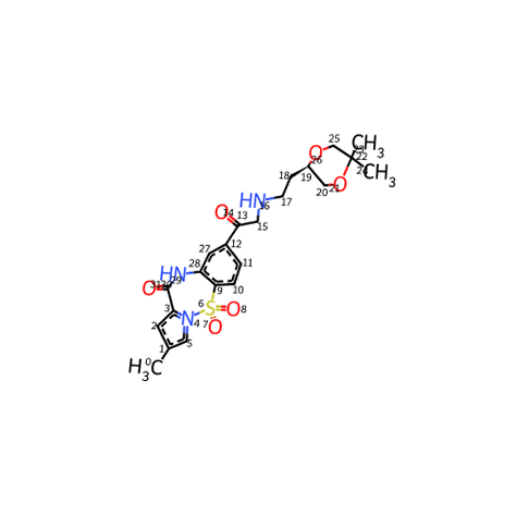 Cc1cc2n(c1)S(=O)(=O)c1ccc(C(=O)CNCC[C@@H]3COC(C)(C)CO3)cc1NC2=O